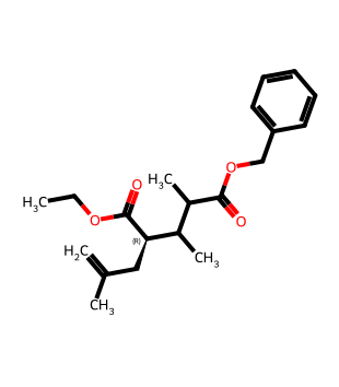 C=C(C)C[C@@H](C(=O)OCC)C(C)C(C)C(=O)OCc1ccccc1